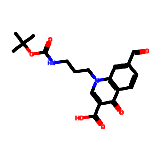 CC(C)(C)OC(=O)NCCCn1cc(C(=O)O)c(=O)c2ccc(C=O)cc21